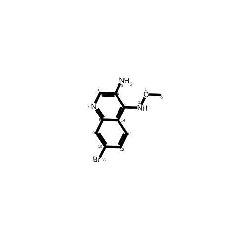 CONc1c(N)cnc2cc(Br)ccc12